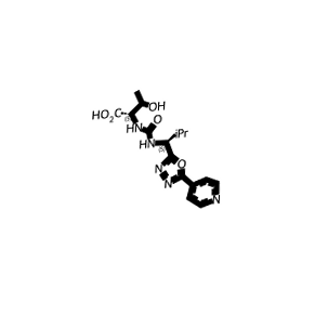 CC(O)[C@H](NC(=O)N[C@H](c1nnc(-c2ccncc2)o1)C(C)C)C(=O)O